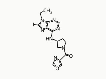 CCn1c(I)nc2c(N[C@H]3CCN(C(=O)c4cocn4)C3)ncnc21